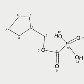 O=C(OCC1CCCC1)P(=O)(O)O